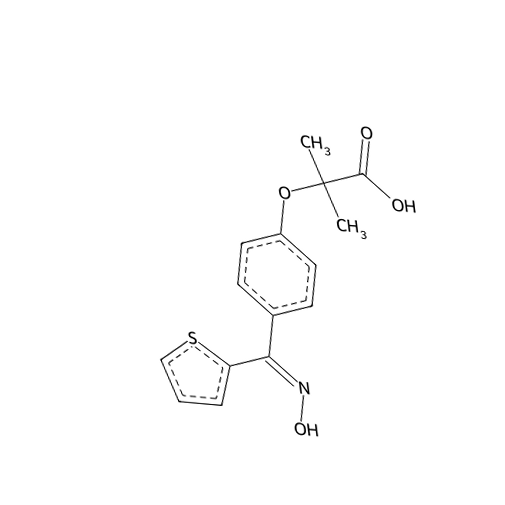 CC(C)(Oc1ccc(C(=NO)c2cccs2)cc1)C(=O)O